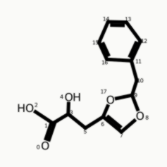 O=C(O)C(O)CC1=COC(Cc2ccccc2)O1